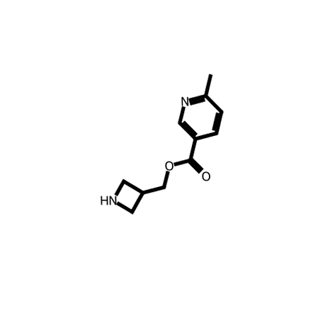 Cc1ccc(C(=O)OCC2CNC2)cn1